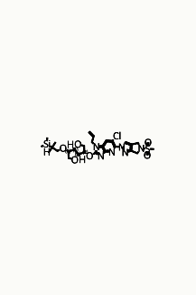 C=CCn1c(O[C@@H]2CO[C@@H]3[C@@H]2OC[C@H]3OCC(C)(C)[SiH](C)C)nc2nc(-n3cc4c(n3)CN(S(C)(=O)=O)C4)c(Cl)cc21